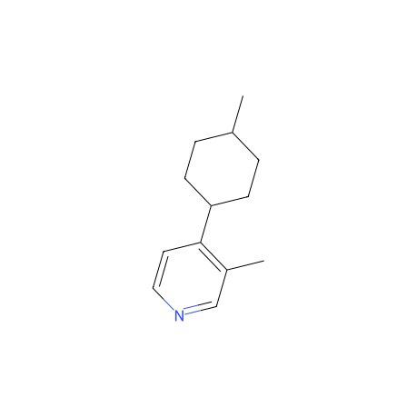 Cc1cnccc1C1CCC(C)CC1